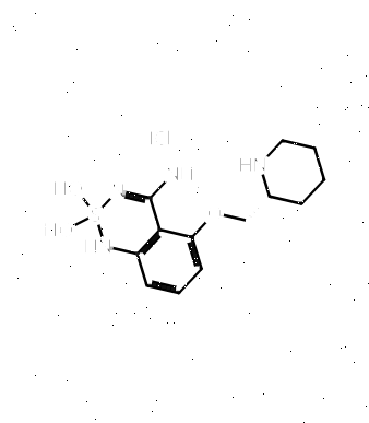 Cl.NC1=NS(O)(O)Nc2cccc(OC[C@H]3CCCCN3)c21